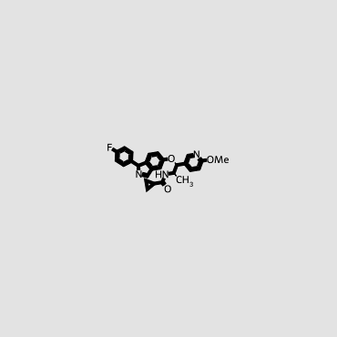 COc1ccc([C@@H](Oc2ccc3c(c2)C=NC3c2ccc(F)cc2)[C@H](C)NC(=O)C2CC2)cn1